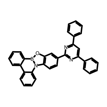 c1ccc(-c2cc(-c3ccccc3)nc(-c3ccc4c(c3)OB3c5ccccc5-c5ccccc5N34)n2)cc1